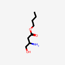 CCCCOC(=O)CC(N)CO